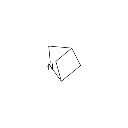 C1[N]C2CC1C2